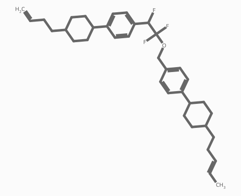 C=CCCC1CCC(c2ccc(C(F)C(F)(F)OCc3ccc(C4CCC(CCC=CC)CC4)cc3)cc2)CC1